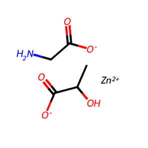 CC(O)C(=O)[O-].NCC(=O)[O-].[Zn+2]